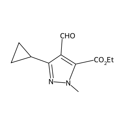 CCOC(=O)c1c(C=O)c(C2CC2)nn1C